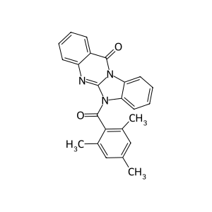 Cc1cc(C)c(C(=O)n2c3ccccc3n3c(=O)c4ccccc4nc23)c(C)c1